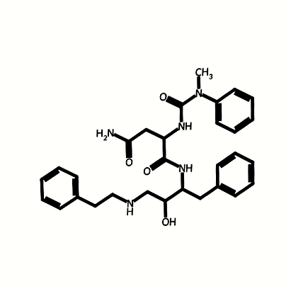 CN(C(=O)NC(CC(N)=O)C(=O)NC(Cc1ccccc1)C(O)CNCCc1ccccc1)c1ccccc1